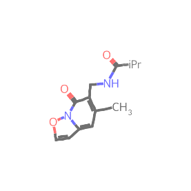 Cc1cc2ccon2c(=O)c1CNC(=O)C(C)C